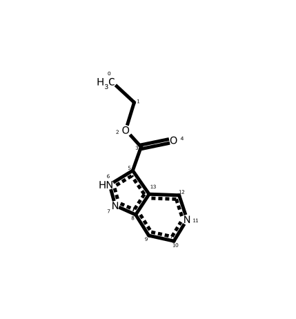 CCOC(=O)c1[nH]nc2ccncc12